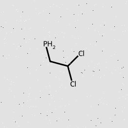 PCC(Cl)Cl